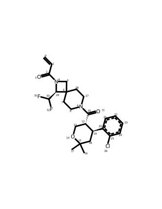 C=CC(=O)N1CC2(CCN(C(=O)[C@H]3COC(C)(C)C[C@@H]3c3ccccc3Cl)CC2)[C@H]1C(F)F